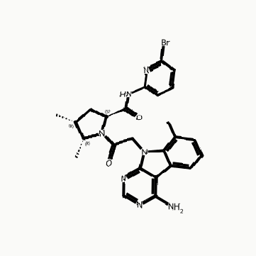 Cc1cccc2c3c(N)ncnc3n(CC(=O)N3[C@H](C)[C@H](C)C[C@H]3C(=O)Nc3cccc(Br)n3)c12